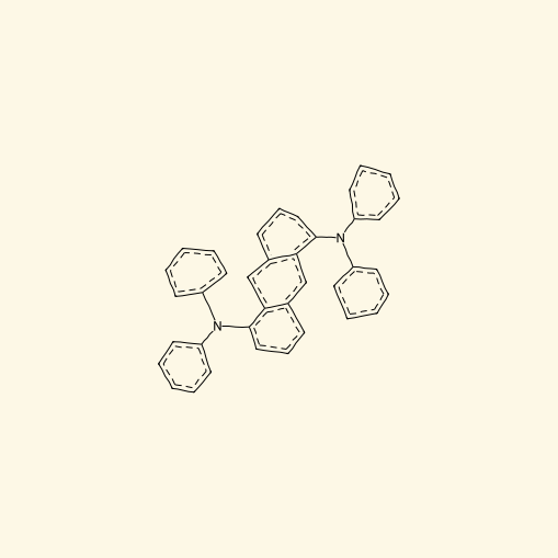 c1ccc(N(c2ccccc2)c2cccc3cc4c(N(c5ccccc5)c5ccccc5)cccc4cc23)cc1